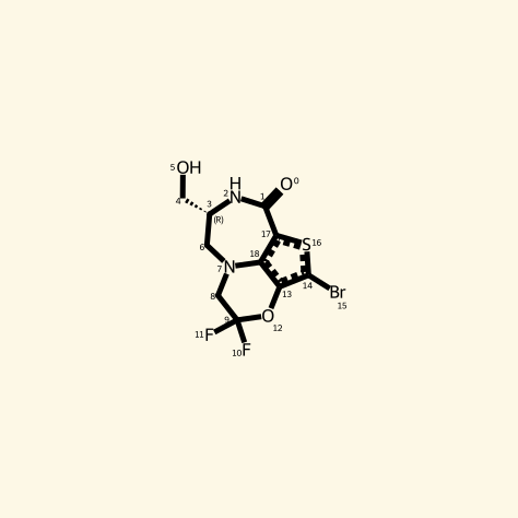 O=C1N[C@@H](CO)CN2CC(F)(F)Oc3c(Br)sc1c32